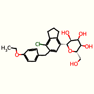 CCOc1ccc(Cc2cc([C@H]3O[C@@H](CO)[C@H](O)[C@H](O)[C@@H]3O)c3c(c2Cl)CCC3)cc1